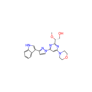 CO[C@H](CO)c1nc(N2CCOCC2)cc(-n2ccc(-c3c[nH]c4ccccc34)n2)n1